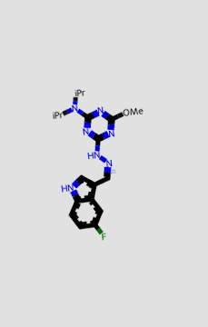 COc1nc(N/N=C\c2c[nH]c3ccc(F)cc23)nc(N(C(C)C)C(C)C)n1